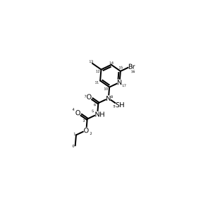 CCOC(=O)NC(=O)N(S)c1cc(C)cc(Br)n1